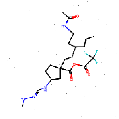 CCCC(CCNC(C)=O)CCC1(C(=O)OC(=O)C(F)(F)F)CCC(NC=NNC)C1